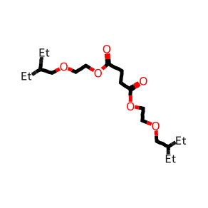 CCC(CC)COCCOC(=O)CCC(=O)OCCOCC(CC)CC